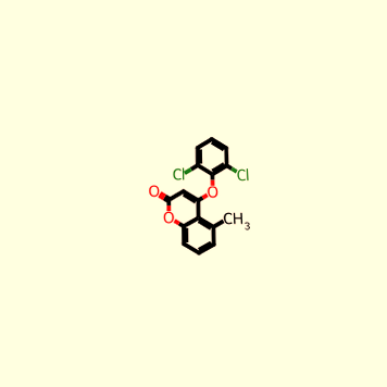 Cc1cccc2oc(=O)cc(Oc3c(Cl)cccc3Cl)c12